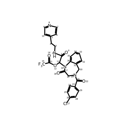 O=C(NCCc1ccncc1)C(OC(=O)C(F)(F)F)N1C(=O)CN(C(=O)c2ccc(Cl)cc2)Cc2ccccc21